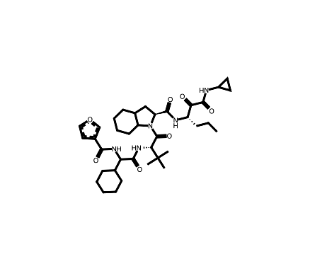 CCC[C@H](NC(=O)[C@@H]1CC2CCCCC2N1C(=O)[C@@H](NC(=O)C(NC(=O)c1ccoc1)C1CCCCC1)C(C)(C)C)C(=O)C(=O)NC1CC1